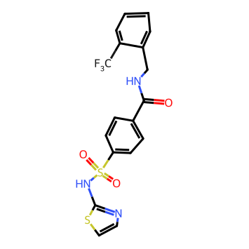 O=C(NCc1ccccc1C(F)(F)F)c1ccc(S(=O)(=O)Nc2nccs2)cc1